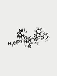 CCON=C(C(=O)NC1C(=O)N2CC(CI)(C(=O)OC(c3ccccc3)c3ccccc3)CS[C@H]12)c1nsc(N)n1